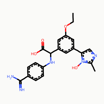 CCOc1cc(-c2cnc(C)n2O)cc(C(Nc2ccc(C(=N)N)cc2)C(=O)O)c1